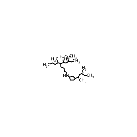 CCCC(C)C(CCCCNC1CCC(C(C)CC(C)CC)C1)C(C)CC(CC)N(C)C